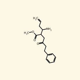 C=CCC(N)C(CC(=O)CCc1ccccc1)C(=O)OC